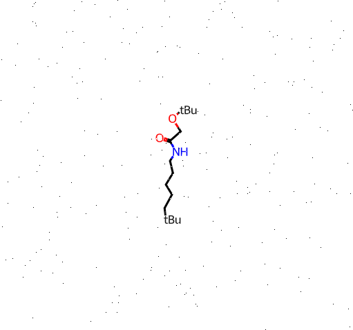 CC(C)(C)CCCCCNC(=O)COC(C)(C)C